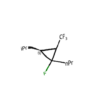 CCCC1(F)C(C(F)(F)F)[C@@H]1C(C)C